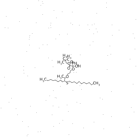 CCCCCCCCCCCSC(CCCCCCCC)C(C)OCCCOC(O)([PH2]=O)C(=O)OCC(C)(C)C